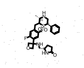 C[C@@H]1NC[C@@H](c2ccccc2)S(=O)(=O)C1Cc1cc(F)c(C2(NC[C@@H]3CCC(=O)N3)COC2)cc1F